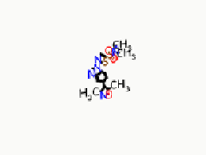 Cc1noc(C)c1-c1ccc2c(c1)ncn2-c1ncc(S(=O)(=O)N(C)C)s1